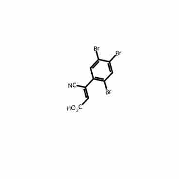 N#CC(=CC(=O)O)c1cc(Br)c(Br)cc1Br